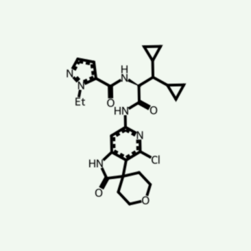 CCn1nccc1C(=O)N[C@H](C(=O)Nc1cc2c(c(Cl)n1)C1(CCOCC1)C(=O)N2)C(C1CC1)C1CC1